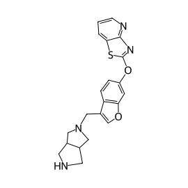 c1cnc2nc(Oc3ccc4c(CN5CC6CNCC6C5)coc4c3)sc2c1